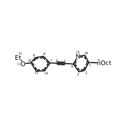 CCCCCCCCc1ccc(C#Cc2ccc(OCC)cc2)nc1